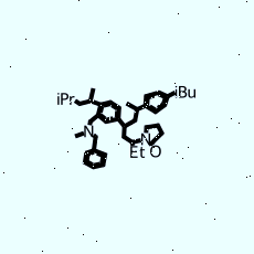 CCC(C)c1ccc(C(C)CC(CC(CC)N2CCCC2=O)c2ccc(C(C)CC(C)C)c(CN(C)Cc3ccccc3)c2)cc1